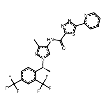 Cc1nn([C@@H](C)c2ccc(C(F)(F)F)cc2C(F)(F)F)cc1NC(=O)c1nnc(-c2ccccn2)s1